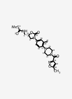 CSC(=O)NC[C@H]1CN(c2ccc(N3CCN(C(=O)c4cc(C)on4)CC3)c(F)c2)C(=O)O1